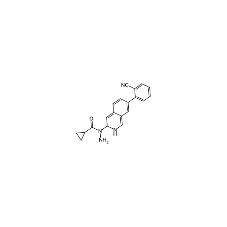 N#Cc1ccccc1-c1ccc2c(c1)=CNC(N(N)C(=O)C1CC1)C=2